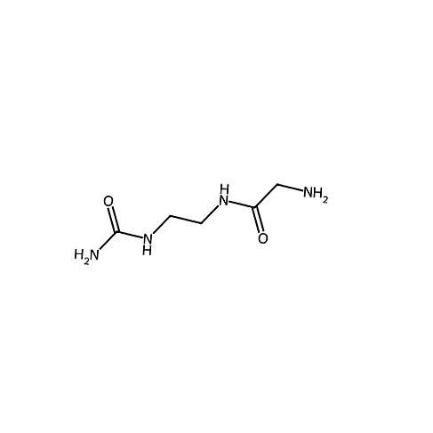 NCC(=O)NCCNC(N)=O